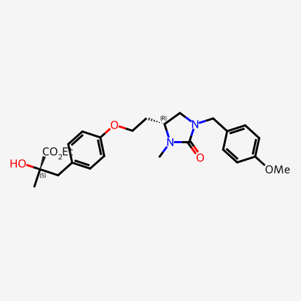 CCOC(=O)[C@@](C)(O)Cc1ccc(OCC[C@@H]2CN(Cc3ccc(OC)cc3)C(=O)N2C)cc1